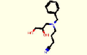 N#CCCCN(Cc1ccccc1)CC(O)CO